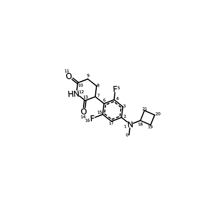 CN(c1cc(F)c(C2CCC(=O)NC2=O)c(F)c1)C1CCC1